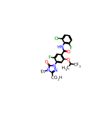 CCn1c(C(=O)O)nn(-c2cc(OC(C)C(F)(F)F)c(C(=O)Nc3c(F)cccc3Cl)cc2F)c1=O